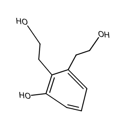 OCCc1cccc(O)c1CCO